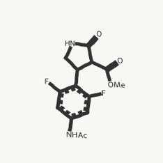 COC(=O)C1C(=O)NCC1c1c(F)cc(NC(C)=O)cc1F